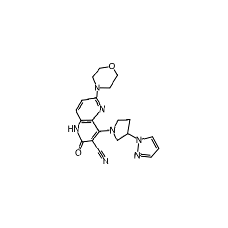 N#Cc1c(N2CCC(n3cccn3)C2)c2nc(N3CCOCC3)ccc2[nH]c1=O